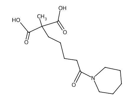 CC(CCCCC(=O)N1CCCCC1)(C(=O)O)C(=O)O